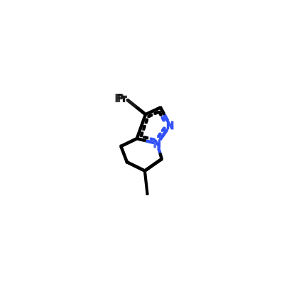 CC1CCc2c(C(C)C)cnn2C1